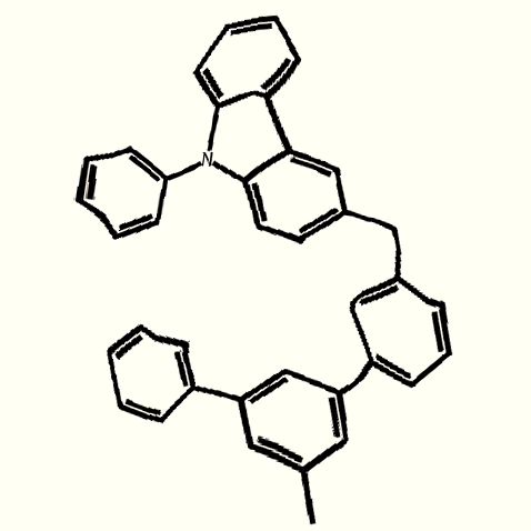 Cc1cc(-c2ccccc2)cc(-c2cccc(Cc3ccc4c(c3)c3ccccc3n4-c3ccccc3)c2)c1